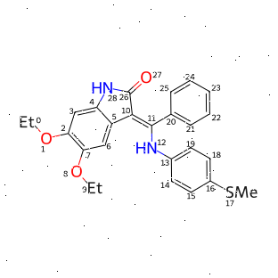 CCOc1cc2c(cc1OCC)C(=C(Nc1ccc(SC)cc1)c1ccccc1)C(=O)N2